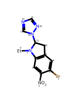 CCN1c2cc([N+](=O)[O-])c(Br)cc2CC1n1cncn1